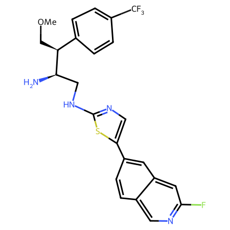 COC[C@@H](c1ccc(C(F)(F)F)cc1)[C@H](N)CNc1ncc(-c2ccc3cnc(F)cc3c2)s1